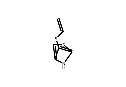 C=CSc1c2csc1N2